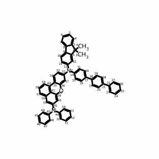 CC1(C)c2ccccc2-c2ccc(N(c3ccc(-c4ccc(-c5ccccc5)cc4)cc3)c3ccc4c(c3)Oc3cc(N(c5ccccc5)c5ccccc5)cc5cccc-4c35)cc21